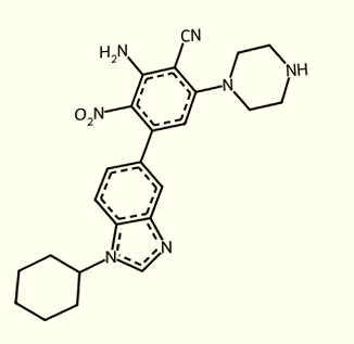 N#Cc1c(N2CCNCC2)cc(-c2ccc3c(c2)ncn3C2CCCCC2)c([N+](=O)[O-])c1N